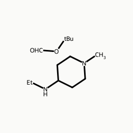 CC(C)(C)OC=O.CCNC1CCN(C)CC1